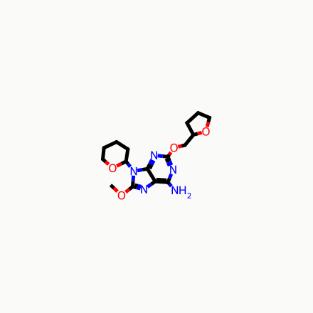 COc1nc2c(N)nc(OCC3CCCO3)nc2n1C1CCCCO1